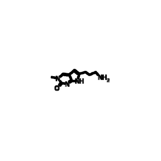 Cn1cc2cc(CCCN)[nH]c2nc1=O